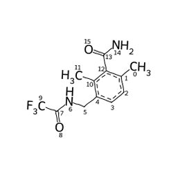 Cc1ccc(CNC(=O)C(F)(F)F)c(C)c1C(N)=O